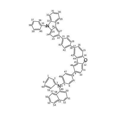 c1ccc(N(c2ccc(-c3ccc4oc5ccc(-c6ccc(-c7ccc8c(c7)c7ccccc7n8-c7ccccc7)cc6)cc5c4c3)cc2)c2cccc3ccccc23)cc1